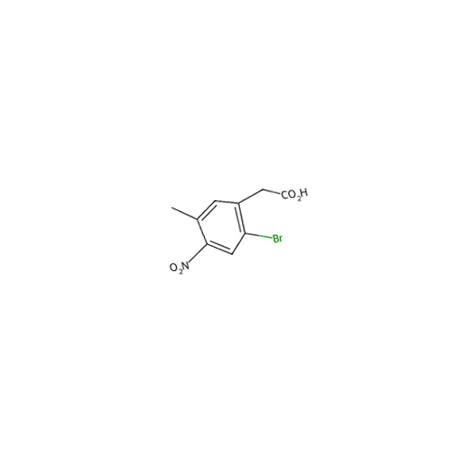 Cc1cc(CC(=O)O)c(Br)cc1[N+](=O)[O-]